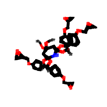 CCCOC1(OCCC)CC(OC(CC)c2ccc(OCC3CO3)cc2)(OC(CC)c2ccc(OCC3CO3)cc2)NC(OC(CC)c2ccc(OCC3CO3)cc2)(OC(CC)c2ccc(OCC3CO3)cc2)C1